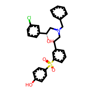 O=S(=O)(c1ccc(O)cc1)c1cccc(CCN(Cc2ccccc2)C[C@H](O)c2cccc(Cl)c2)c1